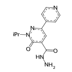 CC(C)n1nc(-c2ccncc2)cc(C(=O)NN)c1=O